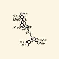 COc1ccc(CC2c3cc(OC)c(OC)cc3CC[N+]2(C)CCCOC(=O)/C=C/C(=O)OCCC[N+]2(C)CCc3cc(OC)c(OC)c(OC)c3C2Cc2cc(OC)c(OC)c(OC)c2)cc1OC